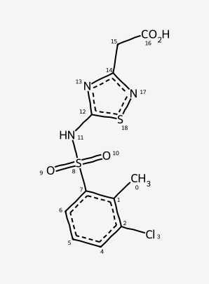 Cc1c(Cl)cccc1S(=O)(=O)Nc1nc(CC(=O)O)ns1